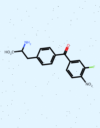 NC(Cc1ccc(C(=O)c2ccc([N+](=O)[O-])c(F)c2)cc1)C(=O)O